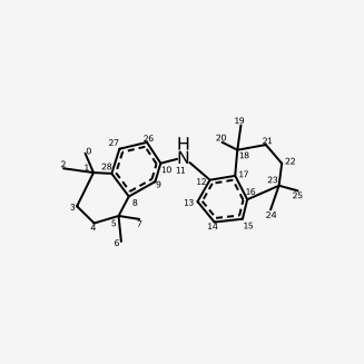 CC1(C)CCC(C)(C)c2cc(Nc3cccc4c3C(C)(C)CCC4(C)C)ccc21